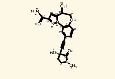 CN1CC[C@@](O)(C#Cc2ccc3c(c2)-n2nc(C(N)=O)cc2C(O)CO3)C1=O